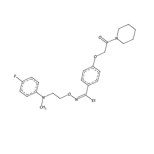 CCC(=NOCCN(C)c1ccc(F)cc1)c1ccc(OCC(=O)N2CCCCC2)cc1